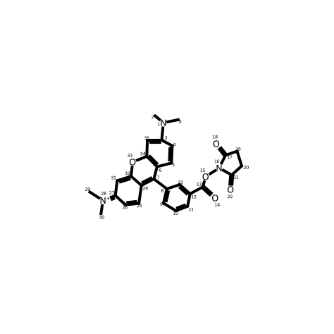 CN(C)c1ccc2c(-c3cccc(C(=O)ON4C(=O)CCC4=O)c3)c3ccc(=[N+](C)C)cc-3oc2c1